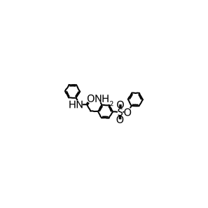 Nc1cc(S(=O)(=O)Oc2ccccc2)ccc1CC(=O)Nc1ccccc1